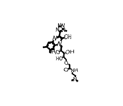 Cc1cc2c(cc1C)N(C[C@H](O)[C@H](O)[C@H](O)COCC(=O)NCCN(C)C)C(O)C(c1nnnn1C)=N2